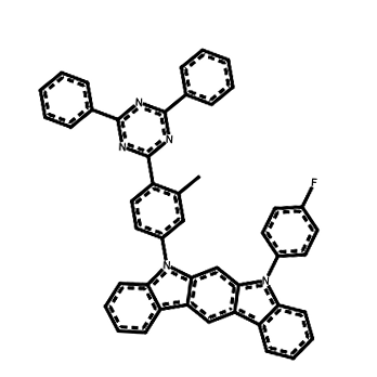 Cc1cc(-n2c3ccccc3c3cc4c5ccccc5n(-c5ccc(F)cc5)c4cc32)ccc1-c1nc(-c2ccccc2)nc(-c2ccccc2)n1